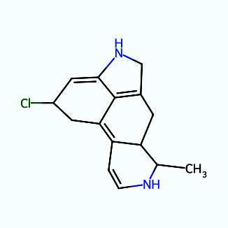 CC1NC=CC2=C3CC(Cl)C=C4NCC(=C43)CC21